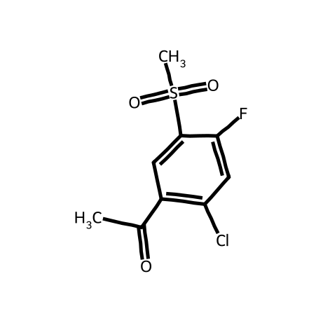 CC(=O)c1cc(S(C)(=O)=O)c(F)cc1Cl